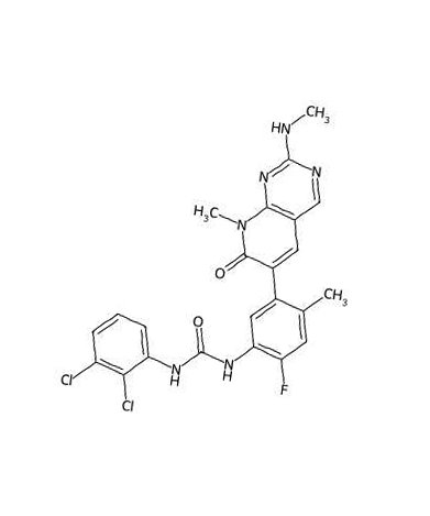 CNc1ncc2cc(-c3cc(NC(=O)Nc4cccc(Cl)c4Cl)c(F)cc3C)c(=O)n(C)c2n1